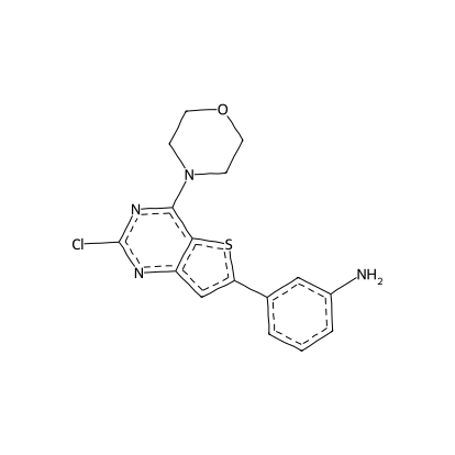 Nc1cccc(-c2cc3nc(Cl)nc(N4CCOCC4)c3s2)c1